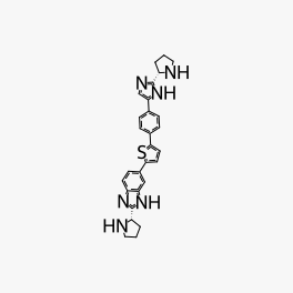 c1cc(-c2ccc(-c3ccc4nc([C@@H]5CCCN5)[nH]c4c3)s2)ccc1-c1cnc([C@@H]2CCCN2)[nH]1